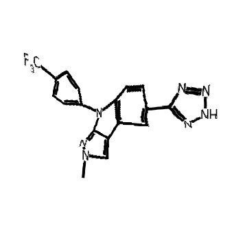 Cn1cc2c3cc(-c4nn[nH]n4)ccc3n(-c3ccc(C(F)(F)F)cc3)c2n1